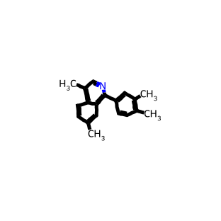 Cc1ccc2c(C)cnc(-c3ccc(C)c(C)c3)c2c1